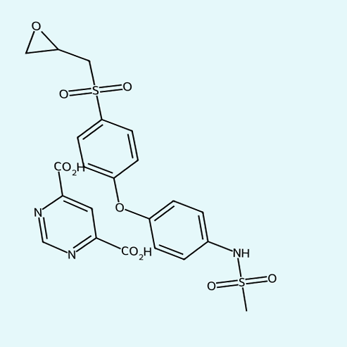 CS(=O)(=O)Nc1ccc(Oc2ccc(S(=O)(=O)CC3CO3)cc2)cc1.O=C(O)c1cc(C(=O)O)ncn1